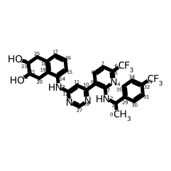 CC(Nc1nc(C(F)(F)F)ccc1-c1cc(Nc2cccc3c2CC(O)C(O)C3)ncn1)c1ccc(C(F)(F)F)cc1